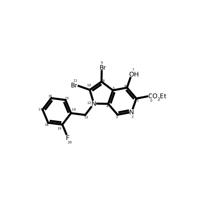 CCOC(=O)c1ncc2c(c1O)c(Br)c(Br)n2Cc1ccccc1F